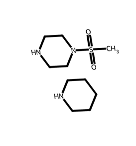 C1CCNCC1.CS(=O)(=O)N1CCNCC1